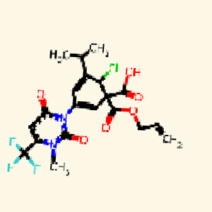 C=CCOC(=O)C1(C(=O)O)C=C(n2c(=O)cc(C(F)(F)F)n(C)c2=O)C=C(C(C)C)C1Cl